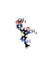 Cn1cc(-c2ccnc(NCC3CC3)c2)c2sc(CN3CCN(S(C)(=O)=O)CC3)cc2c1=O